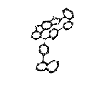 c1ccc(-c2ccc(N(c3ccc(-c4cccc5ccccc45)cc3)c3cccc4oc5cc6nc(-c7ccccc7)sc6cc5c34)cc2)cc1